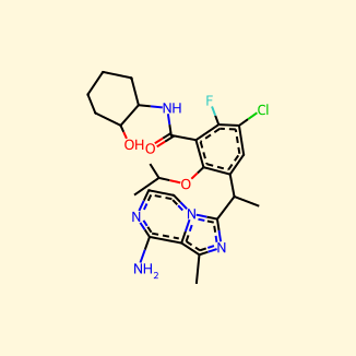 Cc1nc(C(C)c2cc(Cl)c(F)c(C(=O)NC3CCCCC3O)c2OC(C)C)n2ccnc(N)c12